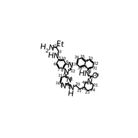 CCC(N)CNc1ccc2c(c1)ncn2-c1ccnc(NCCC2CCCN(C(=O)Nc3cccc4ccccc34)C2)n1